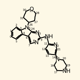 c1ccc2c(c1)c1cnc(Nc3ccc(N4CCNCC4)cn3)nc1n2C1CCOCC1